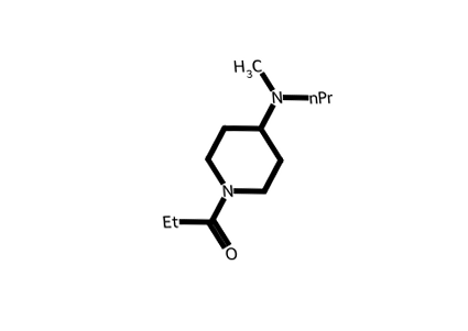 CCCN(C)C1CCN(C(=O)CC)CC1